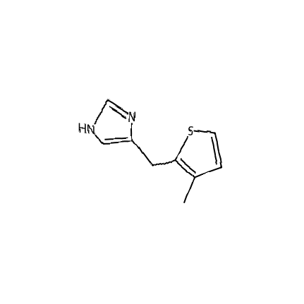 Cc1ccsc1Cc1c[nH]cn1